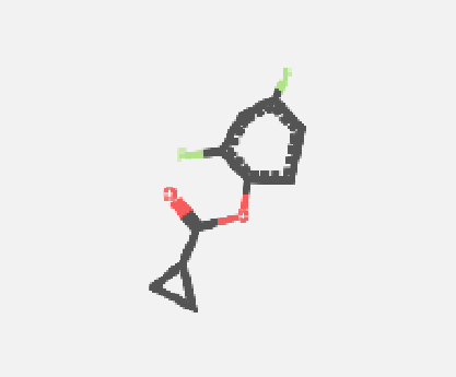 O=C(Oc1ccc(F)cc1F)C1CC1